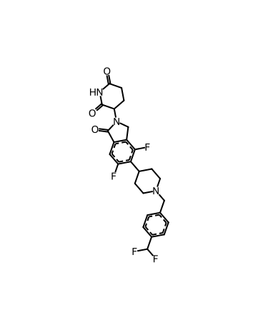 O=C1CCC(N2Cc3c(cc(F)c(C4CCN(Cc5ccc(C(F)F)cc5)CC4)c3F)C2=O)C(=O)N1